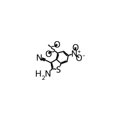 CS(=O)(=O)c1cc([N+](=O)[O-])cc2sc(N)c(C#N)c12